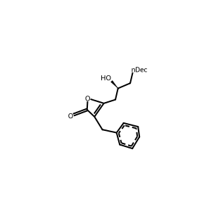 CCCCCCCCCCC[C@H](O)CC1=C(Cc2ccccc2)C(=O)O1